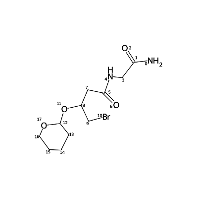 NC(=O)CNC(=O)CC(CBr)OC1CCCCO1